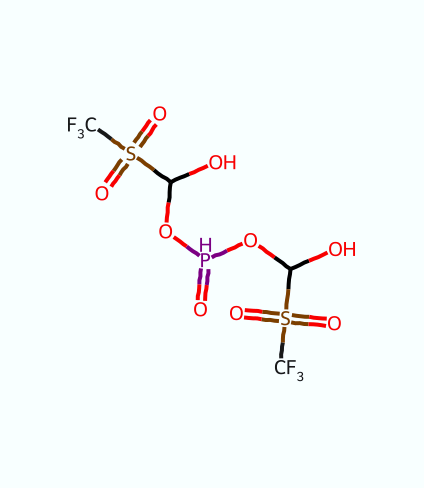 O=[PH](OC(O)S(=O)(=O)C(F)(F)F)OC(O)S(=O)(=O)C(F)(F)F